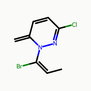 C=C1C=CC(Cl)=NN1/C(Br)=C\C